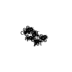 CCNc1nc(Cl)nc(NCC)n1.CCOc1cc(Oc2ccc(C(F)(F)F)cc2Cl)ccc1[N+](=O)[O-].NC1=C(Cl)C(=O)c2ccccc2C1=O.O=C1C(Cl)=C(NC(=O)C(Cl)Cl)C(=O)c2ccccc21